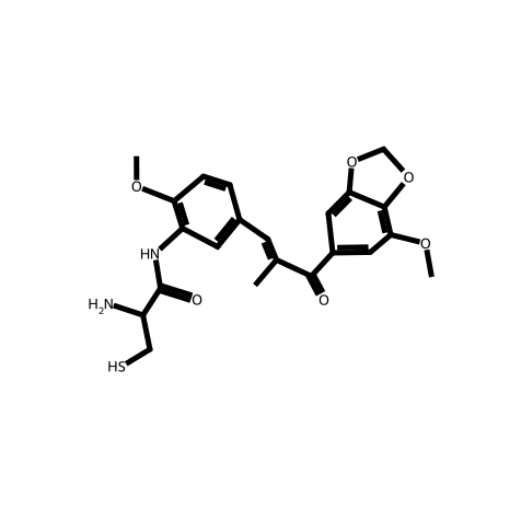 COc1ccc(C=C(C)C(=O)c2cc(OC)c3c(c2)OCO3)cc1NC(=O)C(N)CS